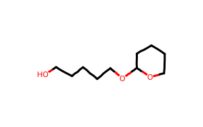 OCCCCCOC1CCCCO1